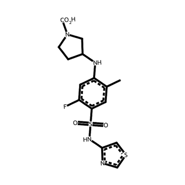 Cc1cc(S(=O)(=O)Nc2cscn2)c(F)cc1NC1CCN(C(=O)O)C1